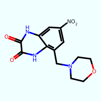 O=c1[nH]c2cc([N+](=O)[O-])cc(CN3CCOCC3)c2[nH]c1=O